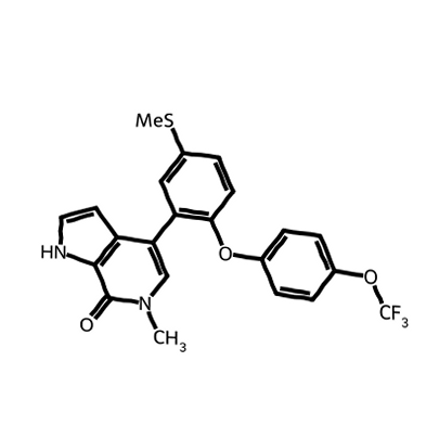 CSc1ccc(Oc2ccc(OC(F)(F)F)cc2)c(-c2cn(C)c(=O)c3[nH]ccc23)c1